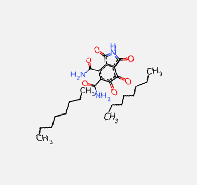 CCCCCCCC.CCCCCCCC.NC(=O)c1c(C(N)=O)c2c(=O)[nH]c(=O)c=2c(=O)c1=O